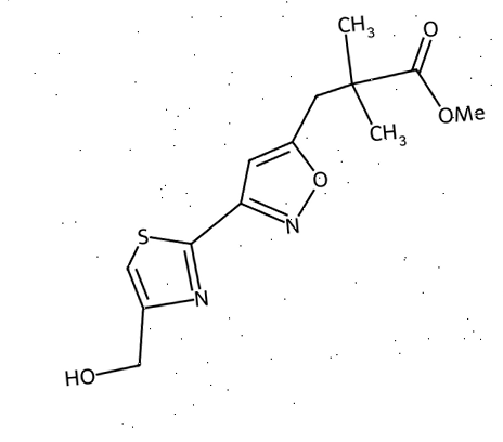 COC(=O)C(C)(C)Cc1cc(-c2nc(CO)cs2)no1